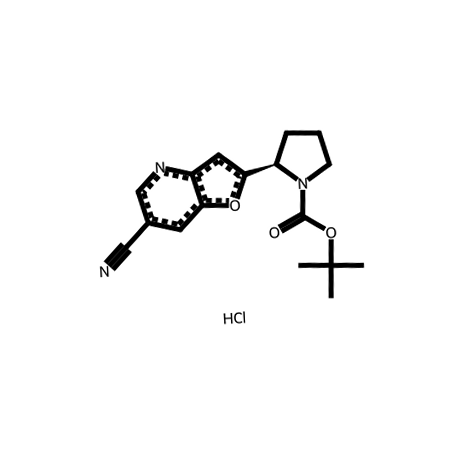 CC(C)(C)OC(=O)N1CCC[C@@H]1c1cc2ncc(C#N)cc2o1.Cl